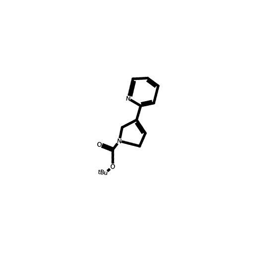 CC(C)(C)OC(=O)N1CC=C(c2ccccn2)C1